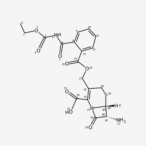 CCOC(=O)NC(=O)c1ccccc1C(=O)OCC1=C(C(=O)O)N2C(=O)[C@@H](N)[C@H]2SC1